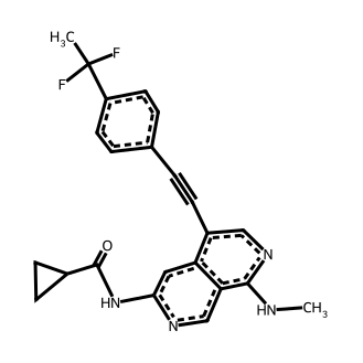 CNc1ncc(C#Cc2ccc(C(C)(F)F)cc2)c2cc(NC(=O)C3CC3)ncc12